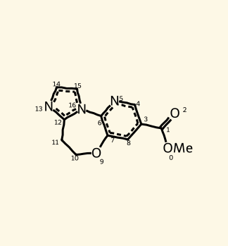 COC(=O)c1cnc2c(c1)OCCc1nccn1-2